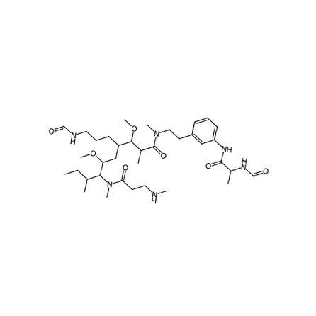 CCC(C)C(C(CC(CCCNC=O)C(OC)C(C)C(=O)N(C)CCc1cccc(NC(=O)C(C)NC=O)c1)OC)N(C)C(=O)CCNC